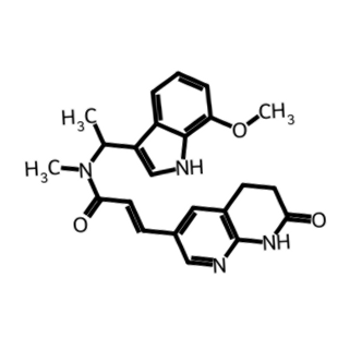 COc1cccc2c(C(C)N(C)C(=O)C=Cc3cnc4c(c3)CCC(=O)N4)c[nH]c12